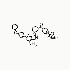 COC(=O)N1CCC(C(=O)N2CCC[C@@H](n3ncc4c(N)nc(-c5ccc(Oc6ccccc6)cc5)nc43)C2)CC1